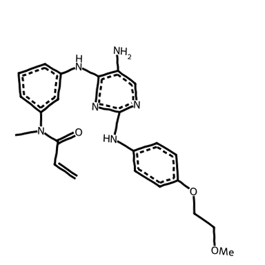 C=CC(=O)N(C)c1cccc(Nc2nc(Nc3ccc(OCCOC)cc3)ncc2N)c1